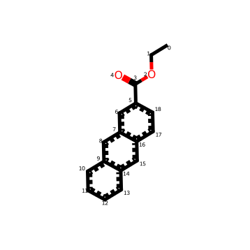 CCOC(=O)c1[c]c2cc3ccccc3cc2cc1